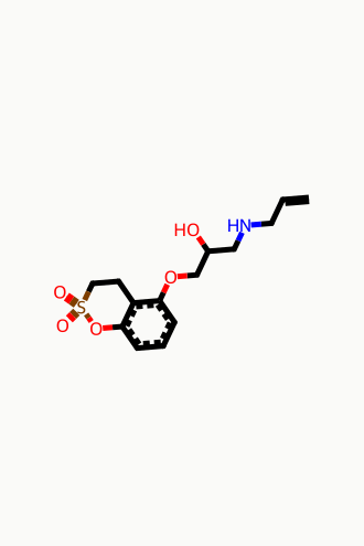 C=CCNCC(O)COc1cccc2c1CCS(=O)(=O)O2